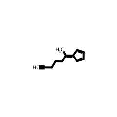 C#CCCCC(C)=C1C=CC=C1